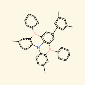 Cc1cc(C)cc(-c2cc3c4c(c2)B(c2ccccc2)c2cc(C)ccc2N4c2ccc(C)cc2B3c2ccccc2)c1